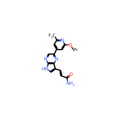 CC(C)Oc1cc(-c2cnc3[nH]cc(/C=C/C(N)=O)c3n2)cc(C(F)(F)F)n1